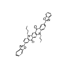 CCCCn1c2ccc(-c3nc4ccccc4o3)cc2c(=O)c2cc3c(cc21)c(=O)c1cc(-c2nc4ccccc4o2)ccc1n3CCCC